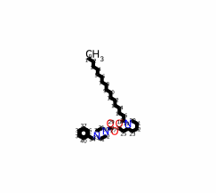 CCCCCCCCCCCCCCCCCC(=O)N1CCCCC1CCOC(=O)N1CCN(Cc2ccccc2)CC1